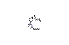 C/N=C(C1=CC=NC(C(N)=O)C1)\C(C)=C(/C)NC